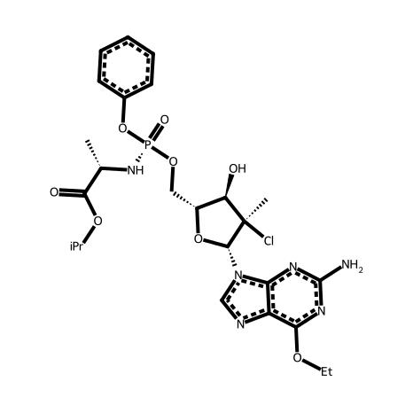 CCOc1nc(N)nc2c1ncn2[C@@H]1O[C@H](CO[P@@](=O)(N[C@@H](C)C(=O)OC(C)C)Oc2ccccc2)[C@@H](O)[C@@]1(C)Cl